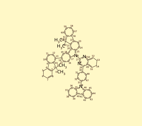 CC1(C)C2=C(CCC=C2)c2cccc(-c3ccc4c(c3)c3c5c(ccc3n4-c3nc(-c4ccc(-n6c7ccccc7c7ccccc76)cc4)c4c(n3)=CCCC=4)-c3ccccc3C5(C)C)c21